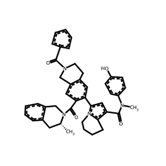 C[C@@H]1Cc2ccccc2CN1C(=O)c1cc2c(cc1-c1cc(C(=O)N(C)c3ccc(O)cc3)c3n1CCCC3)CCN(C(=O)c1ccccc1)C2